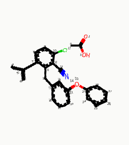 CC(=O)O.CC(C)c1ccc(Cl)c(C#N)c1Cc1cccc(Oc2ccccc2)c1